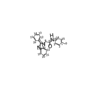 Cc1ccc(NC(=O)Cn2c(-c3ccccc3)nc3ccccc32)cc1